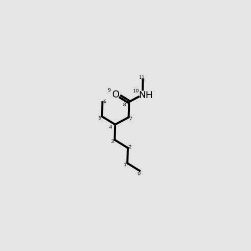 CCCCC(CC)CC(=O)NC